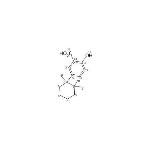 CC1(C)CCCCC1(C)c1ccc(O)c(C(=O)O)c1